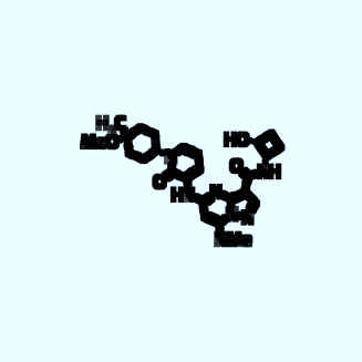 CNc1cc(Nc2cccn([C@H]3CC[C@](C)(OC)CC3)c2=O)nc2c(C(=O)N[C@H]3CC[C@H]3O)cnn12